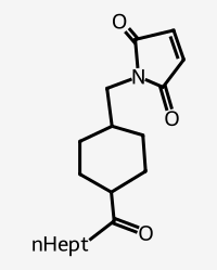 CCCCCCCC(=O)C1CCC(CN2C(=O)C=CC2=O)CC1